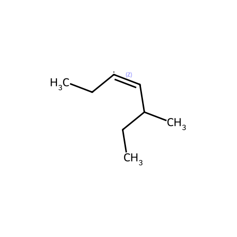 CC/[C]=C\C(C)CC